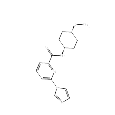 CO[C@H]1CC[C@@H](NC(=O)c2cccc(-n3ccnc3)n2)CC1